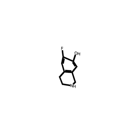 Oc1cc2c(cc1F)CCNC2